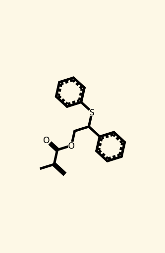 C=C(C)C(=O)OCC(Sc1ccccc1)c1ccccc1